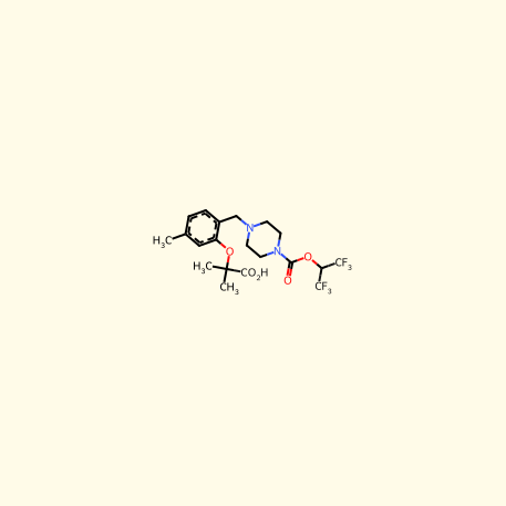 Cc1ccc(CN2CCN(C(=O)OC(C(F)(F)F)C(F)(F)F)CC2)c(OC(C)(C)C(=O)O)c1